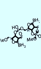 B[C@@H]1O[C@H](COP(=O)(O)OC2C(F)[C@H](B)O[C@@H]2COC)C(OP(=O)(O)OC)C1F